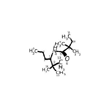 CCCC(NC(=O)C(C)(C)CC)C(C)(C)C